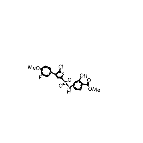 COC(=O)c1ccc(NS(=O)(=O)c2cc(-c3ccc(OC)c(F)c3)c(Cl)s2)cc1O